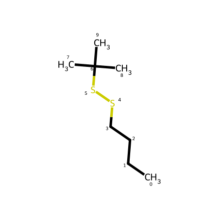 CCCCSSC(C)(C)C